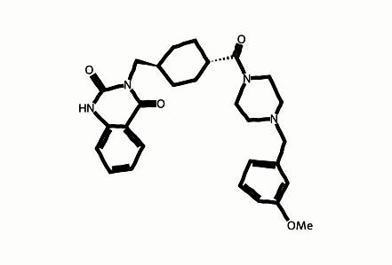 COc1cccc(CN2CCN(C(=O)[C@H]3CC[C@H](Cn4c(=O)[nH]c5ccccc5c4=O)CC3)CC2)c1